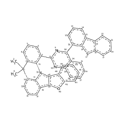 CC1(C)c2cccc(-c3nc(-c4cccc5c4sc4ccccc45)c4ccccc4n3)c2-n2c3c1cccc3c1oc3ccccc3c12